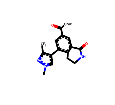 COC(=O)c1cc2c(c(-c3cn(C)nc3C(F)(F)F)c1)CCNC2=O